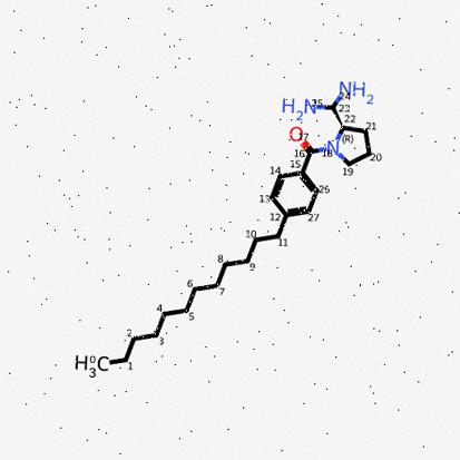 CCCCCCCCCCCCc1ccc(C(=O)N2CCC[C@@H]2C(N)N)cc1